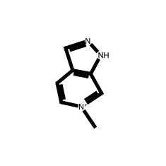 C[n+]1ccc2cn[nH]c2c1